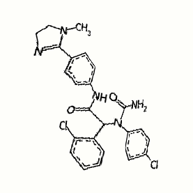 CN1CCN=C1c1ccc(NC(=O)C(c2ccccc2Cl)N(C(N)=O)c2ccc(Cl)cc2)cc1